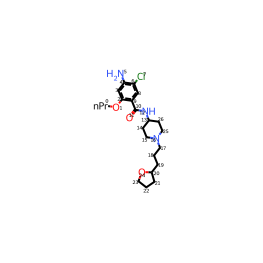 CCCOc1cc(N)c(Cl)cc1C(=O)NC1CCN(CCCC2CCCO2)CC1